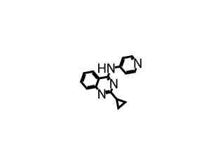 c1ccc2c(Nc3ccncc3)nc(C3CC3)nc2c1